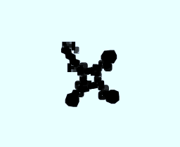 NCCCCCCNC(=O)CN1CCN(CCOC(=O)c2ccccc2)CCN(CCOC(=O)c2ccccc2)CCN(CC(=O)OCc2ccccc2)CC1